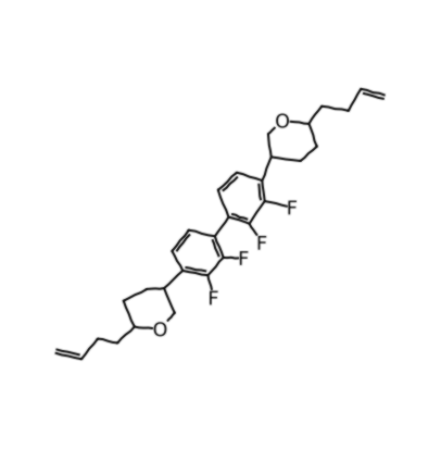 C=CCCC1CCC(c2ccc(-c3ccc(C4CCC(CCC=C)OC4)c(F)c3F)c(F)c2F)CO1